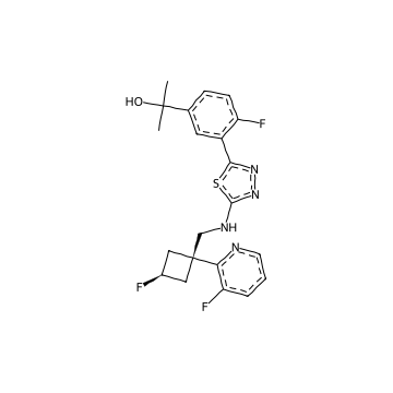 CC(C)(O)c1ccc(F)c(-c2nnc(NC[C@]3(c4ncccc4F)C[C@H](F)C3)s2)c1